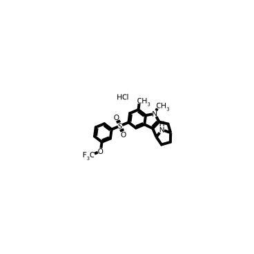 Cc1cc(S(=O)(=O)c2cccc(OC(F)(F)F)c2)cc2c3c(n(C)c12)CC1CCC3N1.Cl